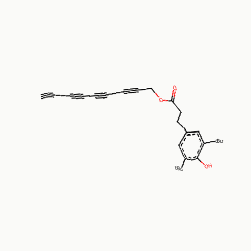 C#CC#CC#CC#CCOC(=O)CCc1cc(C(C)(C)C)c(O)c(C(C)(C)C)c1